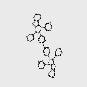 c1ccc2c3c(oc2c1)N(c1cncnc1)B(c1ccc(-c2ccc(B4N(c5cncnc5)c5sc6ccccc6c5N4c4cncnc4)cc2)cc1)N3c1cncnc1